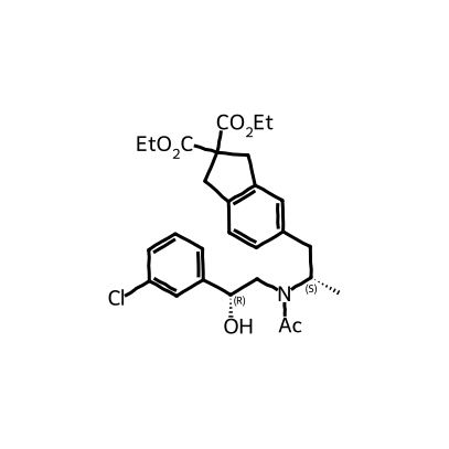 CCOC(=O)C1(C(=O)OCC)Cc2ccc(C[C@H](C)N(C[C@H](O)c3cccc(Cl)c3)C(C)=O)cc2C1